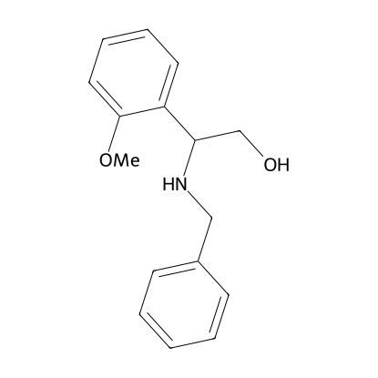 COc1ccccc1C(CO)NCc1ccccc1